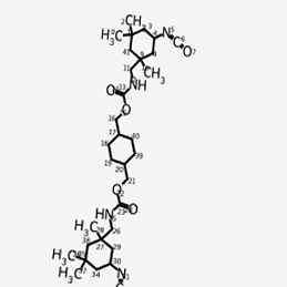 CC1(C)CC(N=C=O)CC(C)(CNC(=O)OCC2CCC(COC(=O)NCC3(C)CC(N=C=O)CC(C)(C)C3)CC2)C1